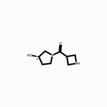 O=C(C1CNC1)N1CC[C@@H](O)C1